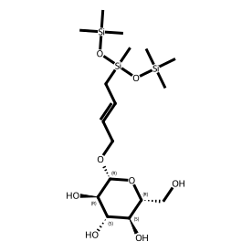 C[Si](C)(C)O[Si](C)(CC=CCO[C@@H]1O[C@H](CO)[C@@H](O)[C@H](O)[C@H]1O)O[Si](C)(C)C